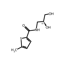 Cc1ccc(C(=O)NC[C@H](O)CO)s1